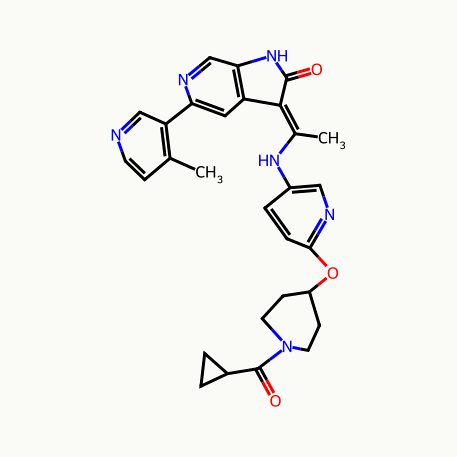 CC(Nc1ccc(OC2CCN(C(=O)C3CC3)CC2)nc1)=C1C(=O)Nc2cnc(-c3cnccc3C)cc21